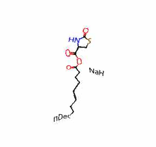 CCCCCCCCCCCCCCCCCC(=O)OC(=O)C1CSC(=O)N1.[NaH]